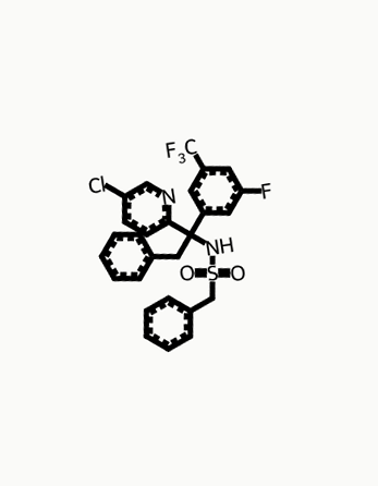 O=S(=O)(Cc1ccccc1)NC(Cc1ccccc1)(c1cc(F)cc(C(F)(F)F)c1)c1ccc(Cl)cn1